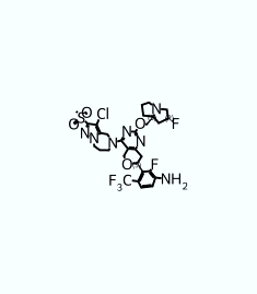 CS(=O)(=O)c1nn2c(c1Cl)CN(c1nc(OC[C@@]34CCCN3C[C@H](F)C4)nc3c1CO[C@H](c1c(C(F)(F)F)ccc(N)c1F)C3)CCC2